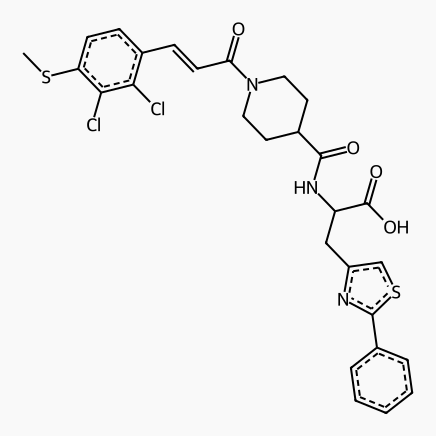 CSc1ccc(C=CC(=O)N2CCC(C(=O)NC(Cc3csc(-c4ccccc4)n3)C(=O)O)CC2)c(Cl)c1Cl